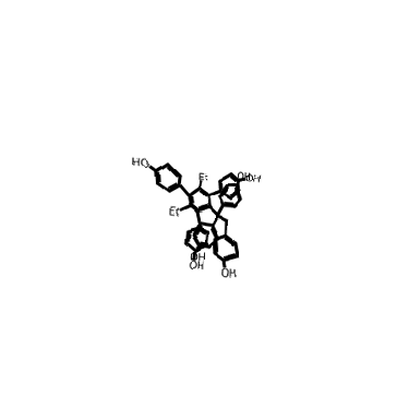 CCc1c(-c2ccc(O)cc2)c(CC)c(-c2ccc(O)cc2)c(C(Cc2ccc(O)cc2)(c2ccc(O)cc2)c2ccc(O)cc2)c1-c1ccc(O)cc1